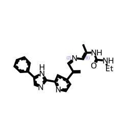 C=C(/C=N\C=C(/C)NC(=O)NCC)c1ccnc(-c2ncc(-c3ccccc3)[nH]2)c1